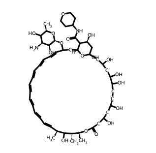 C[C@@H]1OC(=O)CC(O)CC(O)CCC(O)C(O)CC(O)CC2(O)C[C@H](O)C(C(=O)NC3CCOCC3)[C@H](CC(O[C@@H]3O[C@H](C)C(O)[C@H](N)[C@@H]3O)/C=C/C=C/C=C/C=C/C=C/C=C/C=C/[C@H](C)C(O)[C@H]1C)O2